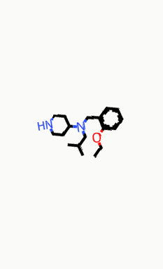 CCOc1ccccc1CN(CC(C)C)C1CCNCC1